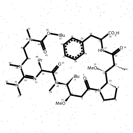 CC[C@H](C)[C@@H]([C@@H](CC(=O)N1CCC[C@H]1[C@H](OC)[C@@H](C)C(=O)NC(Cc1ccccc1)C(=O)O)OC)N(C)C(=O)[C@@H](N=C(N(C)C)N(C)CCN(C)C(=O)OC(C)(C)C)C(C)C